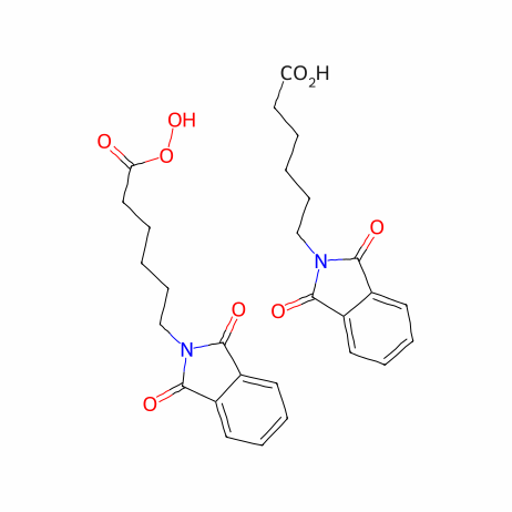 O=C(CCCCCN1C(=O)c2ccccc2C1=O)OO.O=C(O)CCCCCN1C(=O)c2ccccc2C1=O